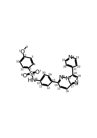 COc1ccc(S(=O)(=O)Nc2ccc(-c3ccc4ncc(-c5ccncc5)n4n3)cc2)cc1